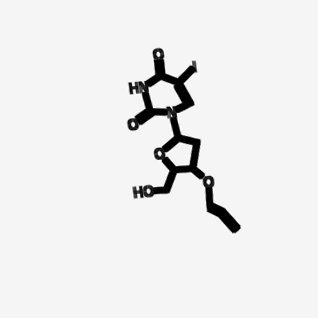 C=C=COC1CC(n2cc(I)c(=O)[nH]c2=O)OC1CO